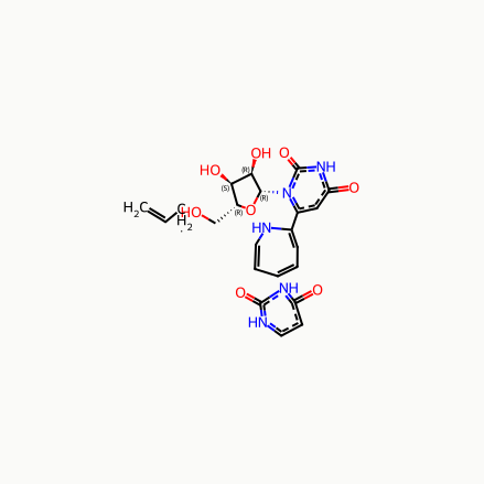 O=c1cc(C2=CC=CC=CN2)n([C@@H]2O[C@H](CO)[C@@H](O)[C@H]2O)c(=O)[nH]1.O=c1cc[nH]c(=O)[nH]1.[CH2]C=C